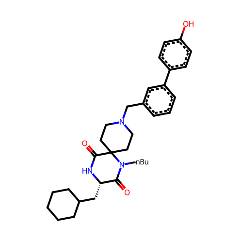 CCCCN1C(=O)[C@H](CC2CCCCC2)NC(=O)C12CCN(Cc1cccc(-c3ccc(O)cc3)c1)CC2